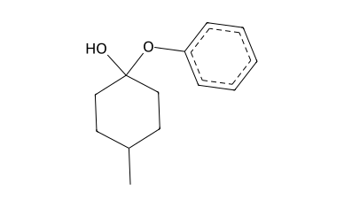 CC1CCC(O)(Oc2ccccc2)CC1